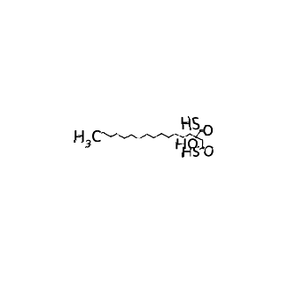 CCCCCCCCCCCCCCC(O)(CC(=O)S)C(=O)S